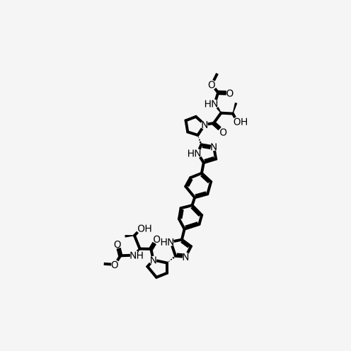 COC(=O)N[C@H](C(=O)N1CCC[C@H]1c1ncc(-c2ccc(-c3ccc(-c4cnc([C@@H]5CCCN5C(=O)[C@@H](NC(=O)OC)[C@@H](C)O)[nH]4)cc3)cc2)[nH]1)[C@@H](C)O